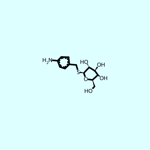 Nc1ccc(CS[C@@H]2O[C@H](CO)[C@H](O)[C@H](O)[C@H]2O)cc1